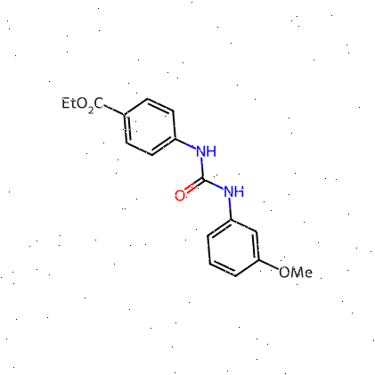 CCOC(=O)c1ccc(NC(=O)Nc2cccc(OC)c2)cc1